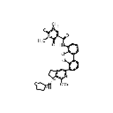 COc1nc(-c2cccc(-c3cccc(NC(=O)c4cn(C)c(=O)n(C)c4=O)c3Cl)c2Cl)cc2c1[C@H](N[C@H]1CCOC1)CC2